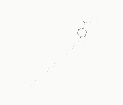 O=C(c1ccc(NCCCCCCCCCCCCCCO)cc1)N1CCCC1